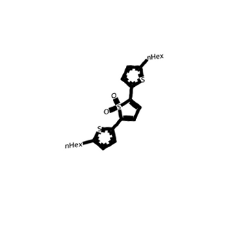 CCCCCCc1ccc(C2=CC=C(c3ccc(CCCCCC)s3)S2(=O)=O)s1